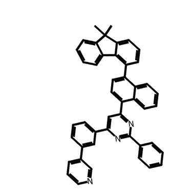 CC1(C)c2ccccc2-c2c(-c3ccc(-c4cc(-c5cccc(-c6cccnc6)c5)nc(-c5ccccc5)n4)c4ccccc34)cccc21